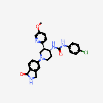 COc1ccc([C@@H]2CN(c3ccc4c(c3)CNC4=O)CC[C@H]2NC(=O)Nc2ccc(Cl)cc2)nc1